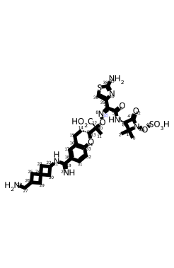 CC1(C)[C@H](NC(=O)/C(=N\O[C@](C)(C(=O)O)[C@H]2CCc3cc(C(=N)NC4CC5(CC(CN)C5)C4)ccc3O2)c2csc(N)n2)C(=O)N1OS(=O)(=O)O